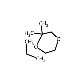 CC1(C)COCCO1.CCC